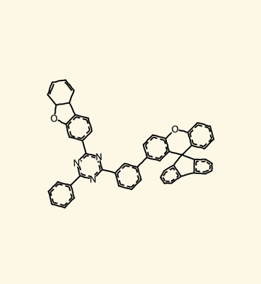 C1=CC2Oc3cc(-c4nc(-c5ccccc5)nc(-c5cccc(-c6ccc7c(c6)C6(c8ccccc8O7)c7ccccc7-c7ccccc76)c5)n4)ccc3C2C=C1